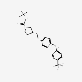 CC(C)(C)OC(=O)N1CC[C@H](COc2ccc(Oc3ccc(C(F)(F)F)cc3)cc2)C1